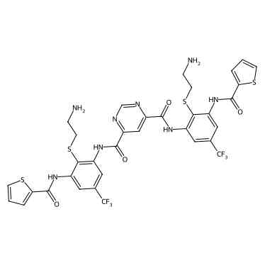 NCCSc1c(NC(=O)c2cc(C(=O)Nc3cc(C(F)(F)F)cc(NC(=O)c4cccs4)c3SCCN)ncn2)cc(C(F)(F)F)cc1NC(=O)c1cccs1